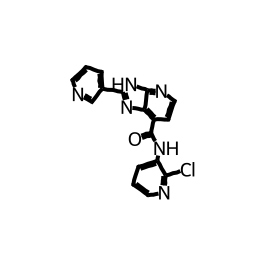 O=C(Nc1cccnc1Cl)c1ccnc2[nH]c(-c3cccnc3)nc12